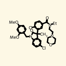 CCN(CCN1CCOCC1)C(=O)c1ccc(Cl)c(C2(C)C(=O)N(Cc3ccc(OC)cc3OC)c3ccc(Cl)cc32)c1